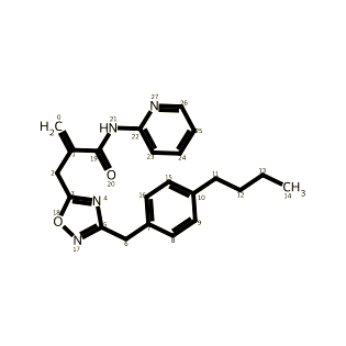 C=C(Cc1nc(Cc2ccc(CCCC)cc2)no1)C(=O)Nc1ccccn1